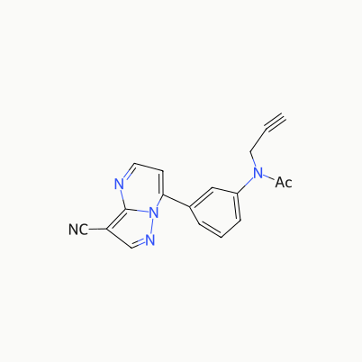 C#CCN(C(C)=O)c1cccc(-c2ccnc3c(C#N)cnn23)c1